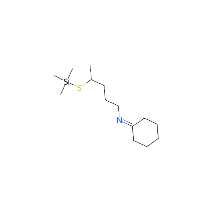 CC(CCCN=C1CCCCC1)S[Si](C)(C)C